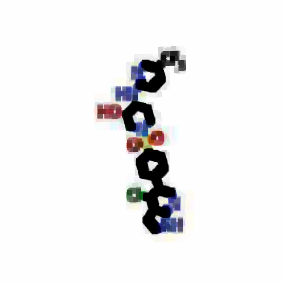 O=S(=O)(c1ccc(-c2cnc3[nH]ccc3c2Cl)cc1)N1CC[C@@H](Nc2ccc(C(F)(F)F)cn2)[C@@H](O)C1